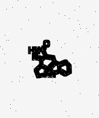 O=C1NN=C(C2CCCC2)C1=Cc1c[nH]c2ccccc12